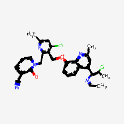 C/C=N\C(=C(/C)Cl)c1cc(C)nc2c(OCc3c(Cl)cc(C)nc3Cn3cccc(C#N)c3=O)cccc12